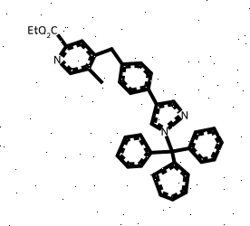 CCOC(=O)c1cc(Cc2ccc(-c3cnn(C(c4ccccc4)(c4ccccc4)c4ccccc4)c3)cc2)c(C)cn1